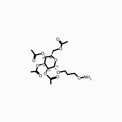 CC(=O)OC[C@H]1O[C@H](OCCCON)[C@@H](OC(C)=O)[C@@H](OC(C)=O)[C@@H]1OC(C)=O